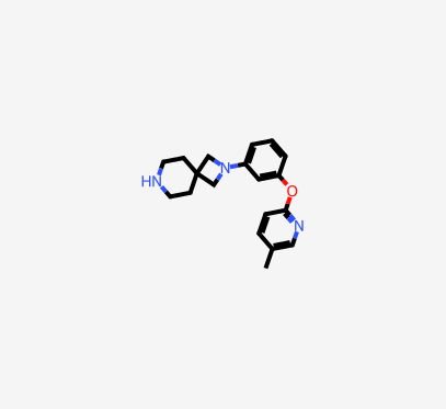 Cc1ccc(Oc2cccc(N3CC4(CCNCC4)C3)c2)nc1